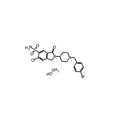 Cl.NS(=O)(=O)c1cc2c(cc1Cl)CN(C1CCN(Cc3ccc(Br)cc3)CC1)C2=O.O